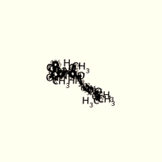 CC[C@@H]1C(=O)N(C)c2cnc(Nc3ccc(C(=O)NCCN4CC5CN(C(=O)OC(C)(C)C)CC5C4)cc3OC)nc2N1C1CCCC1